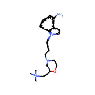 C[N+](C)(C)CC1CN(CCCn2ccc3c(N)cccc32)CCO1